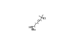 CCC(C)(C)COCCCNC(C)(C)C